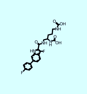 O=C(O)NCCCC(CNC(=O)c1[nH]c2cc(-c3ccc(F)cc3)ccc2c1F)NC(=O)O